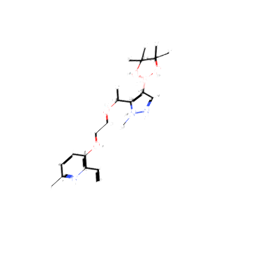 C=Cc1nc(C)ccc1OCCOC(C)c1c(B2OC(C)(C)C(C)(C)O2)cnn1C